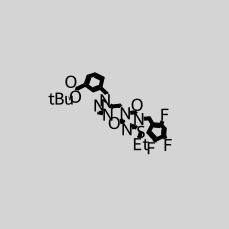 CCSc1nc(=O)n(Cc2ncnn2Cc2cccc(C(=O)OC(C)(C)C)c2)c(=O)n1Cc1cc(F)c(F)cc1F